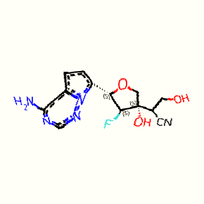 N#CC(CO)[C@]1(O)CO[C@@H](c2ccc3c(N)ncnn23)[C@@H]1F